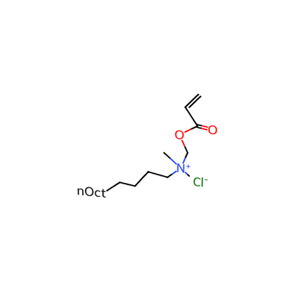 C=CC(=O)OC[N+](C)(C)CCCCCCCCCCCC.[Cl-]